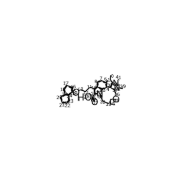 CCC1=C2c3c(C)ccc4c(CCCOc5cccc6ccccc56)c(C(=O)O)n(c34)CCCCOCC2N(C)N1C